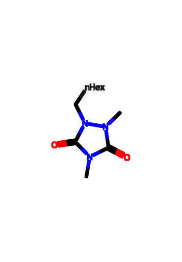 CCCCCCCn1c(=O)n(C)c(=O)n1C